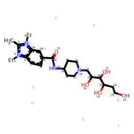 CCn1c(C)[n+](CC)c2ccc(C(=O)NC3CCN(CC(O)C(O)C(O)CCO)CC3)cc21